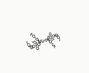 C=Cc1ccc(Oc2ccc(C3(c4cc(C)ccc4C)c4ccccc4-c4ccc(N(c5ccc(-c6ccc(F)cc6)cc5)c5ccc(-c6ccc(N(c7ccc(-c8ccc(F)cc8)cc7)c7ccc8c(c7)C(c7ccc(Oc9ccc(C=C)cc9)cc7)(c7cc(C)ccc7C)c7ccccc7-8)cc6)cc5)cc43)cc2)cc1